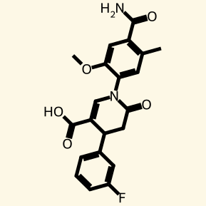 COc1cc(C(N)=O)c(C)cc1N1C=C(C(=O)O)C(c2cccc(F)c2)CC1=O